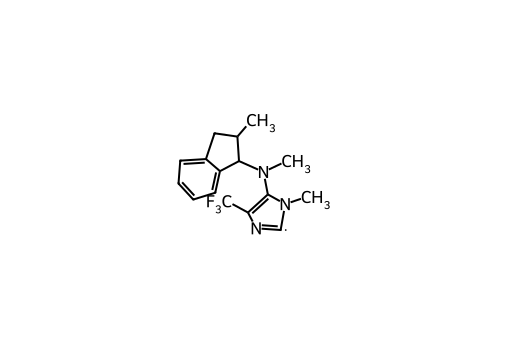 CC1Cc2ccccc2C1N(C)c1c(C(F)(F)F)n[c]n1C